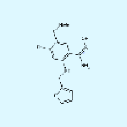 CNSc1cc(/C(N)=N\O)c(NCc2ccco2)cc1Cl